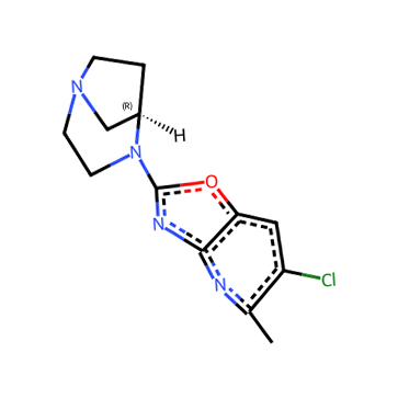 Cc1nc2nc(N3CCN4CC[C@@H]3C4)oc2cc1Cl